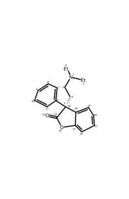 CCN(CC)CC[C@@]1(c2ccccc2)C(=O)Oc2ccccc21